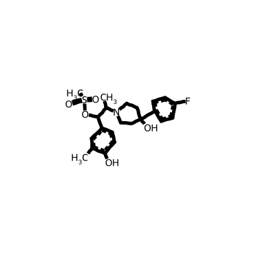 Cc1cc(C(OS(C)(=O)=O)C(C)N2CCC(O)(c3ccc(F)cc3)CC2)ccc1O